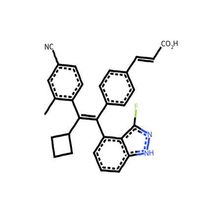 Cc1cc(C#N)ccc1/C(=C(\c1ccc(/C=C/C(=O)O)cc1)c1cccc2[nH]nc(F)c12)C1CCC1